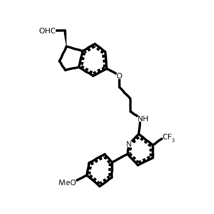 COc1ccc(-c2ccc(C(F)(F)F)c(NCCCOc3ccc4c(c3)CC[C@H]4CC=O)n2)cc1